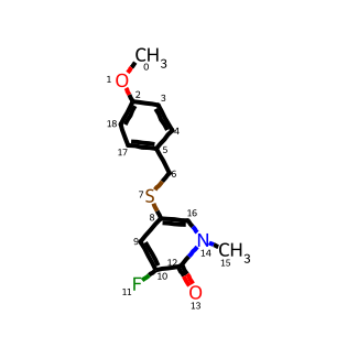 COc1ccc(CSc2cc(F)c(=O)n(C)c2)cc1